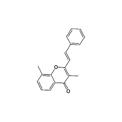 Cc1c(C=Cc2ccccc2)oc2c(C)cccc2c1=O